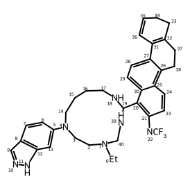 CCN1CCN(c2ccc3cn[nH]c3c2)CCCCNC(c2c(NC(F)(F)F)ccc3c4c(ccc23)C2=C(CCC=C2)CC4)NC1